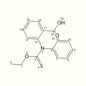 CCOC(=S)N(c1ccccc1)c1ccccc1C(=O)O